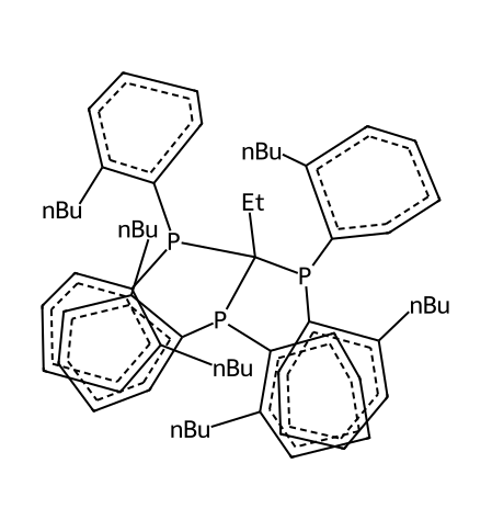 CCCCc1ccccc1P(c1ccccc1CCCC)C(CC)(P(c1ccccc1CCCC)c1ccccc1CCCC)P(c1ccccc1CCCC)c1ccccc1CCCC